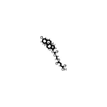 C[C@]12CC[C@H]3[C@@H](CCC4=CC(=O)CC[C@@]43C)[C@@H]1CC[C@@H]2OC(=O)OCCOC(=O)CCC(=O)O